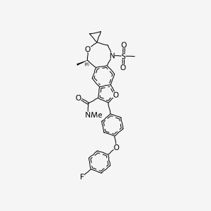 CNC(=O)c1c(-c2ccc(Oc3ccc(F)cc3)cc2)oc2cc3c(cc12)[C@@H](C)OC1(CC1)CN3S(C)(=O)=O